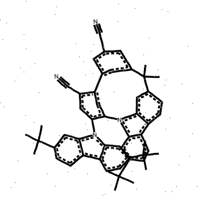 CC(C)(C)c1ccc2c3ccc(C(C)(C)C)cc3n(-c3cc(C#N)c4cc3-n3c5cc(C(C)(C)C)ccc5c5ccc(cc53)C(C)(C)c3cc(C#N)cc-4c3)c2c1